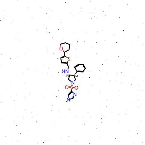 Cn1cnc(S(=O)(=O)N2C[C@H](NCc3ccc(C4CCCCO4)s3)[C@@H](c3ccccc3)C2)c1